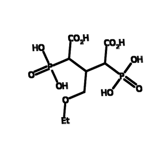 CCOCC(C(C(=O)O)P(=O)(O)O)C(C(=O)O)P(=O)(O)O